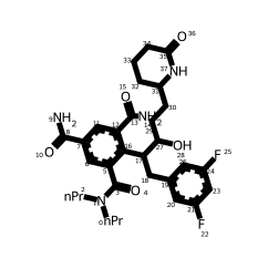 CCCN(CCC)C(=O)c1cc(C(N)=O)cc(C(N)=O)c1C(Cc1cc(F)cc(F)c1)C(O)CCC1CCCC(=O)N1